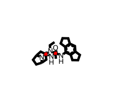 CCN(CC)C1CC2CCC(C1)N2SNC(=O)Nc1c2c(cc3c1CCC3)CCC2